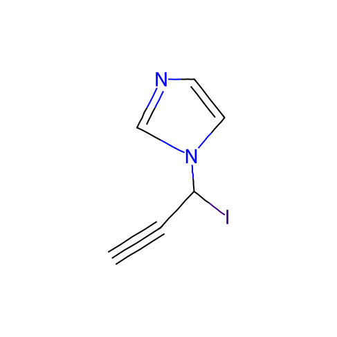 C#CC(I)n1ccnc1